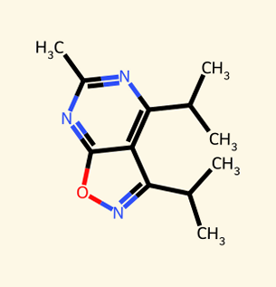 Cc1nc(C(C)C)c2c(C(C)C)noc2n1